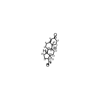 CC12CCC(=O)C=C1CCC1[C@@H]2CCC2(C)C(N=O)CC[C@@H]12